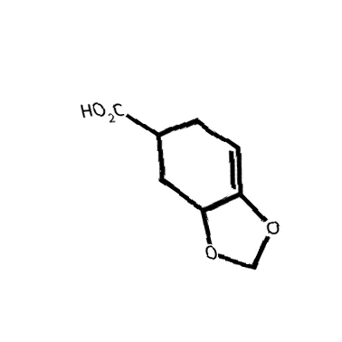 O=C(O)C1CC=C2OCOC2C1